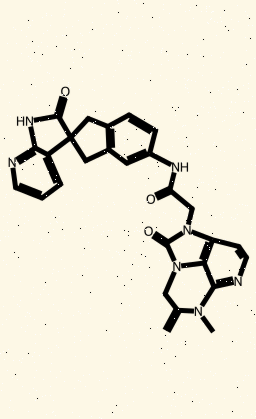 C=C1Cn2c(=O)n(CC(=O)Nc3ccc4c(c3)CC3(C4)C(=O)Nc4ncccc43)c3ccnc(c32)N1C